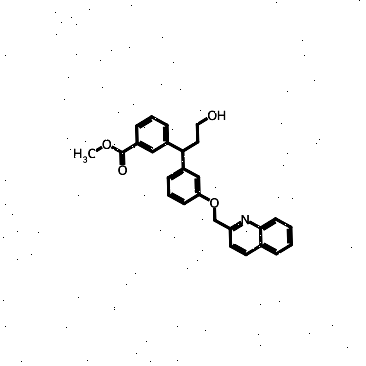 COC(=O)c1cccc(C(CCO)c2cccc(OCc3ccc4ccccc4n3)c2)c1